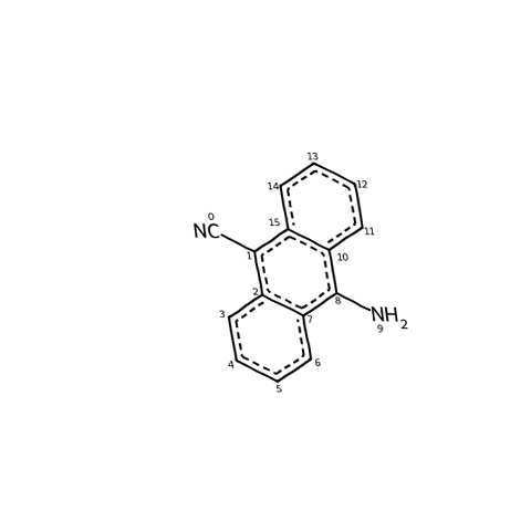 N#Cc1c2ccccc2c(N)c2ccccc12